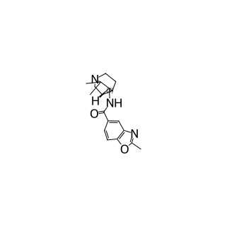 Cc1nc2cc(C(=O)N[C@H]3C4CCN(CC4)C3(C)C)ccc2o1